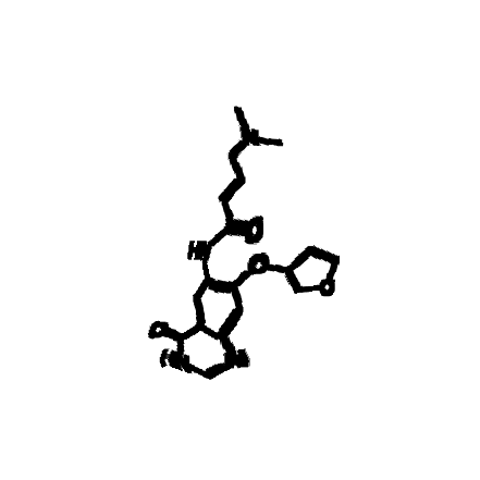 CN(C)CC=CC(=O)Nc1cc2c(=O)[nH]cnc2cc1OC1CCOC1